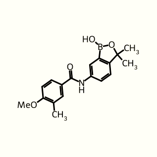 COc1ccc(C(=O)Nc2ccc3c(c2)B(O)OC3(C)C)cc1C